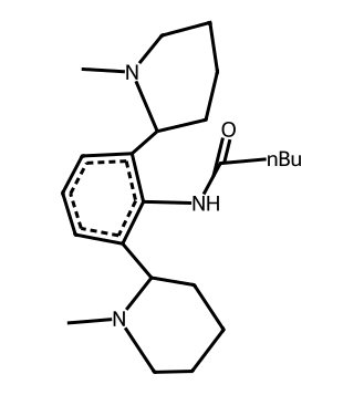 CCCCC(=O)Nc1c(C2CCCCN2C)cccc1C1CCCCN1C